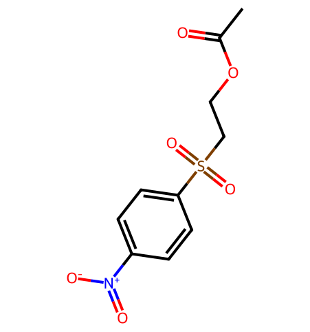 CC(=O)OCCS(=O)(=O)c1ccc([N+](=O)[O-])cc1